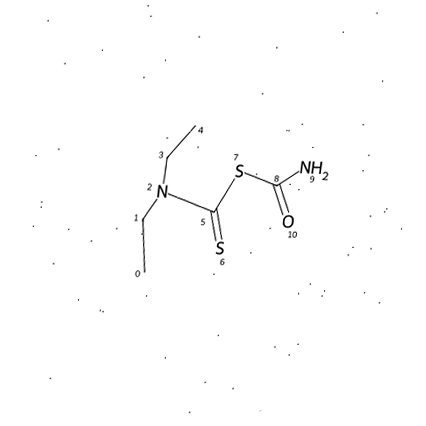 CCN(CC)C(=S)SC(N)=O